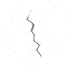 [CH2]CCCCC=CCF